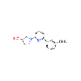 O=Cc1cccc(-c2cccc(N3CCC(O)C3)n2)c1